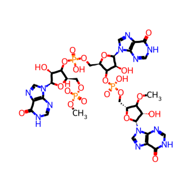 COC1[C@@H](COP(=O)(O)OC2[C@@H](COP(=O)(O)OC3[C@@H](COP(=O)(O)OC)O[C@@H](n4cnc5c(=O)[nH]cnc54)[C@H]3O)O[C@@H](n3cnc4c(=O)[nH]cnc43)[C@H]2O)O[C@@H](n2cnc3c(=O)[nH]cnc32)[C@H]1O